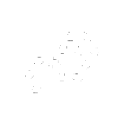 c1ccc(-c2cccc(C3=NC(c4cccc(-c5cccc(-c6ccccc6)c5)c4)=NC(c4cccc(-c5cccc(-c6ccc(-c7cccc(-c8cccc(-c9ccccc9)c8)c7)cc6)c5)c4)N3)c2)cc1